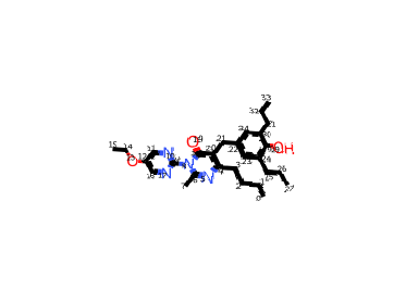 CCCCc1nc(C)n(-c2ncc(OCC)cn2)c(=O)c1Cc1cc(CCC)c(O)c(CCC)c1